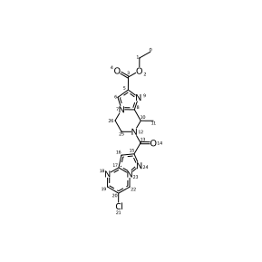 CCOC(=O)c1cn2c(n1)C(C)N(C(=O)c1cc3ncc(Cl)cn3n1)CC2